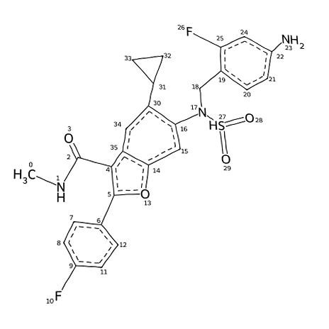 CNC(=O)c1c(-c2ccc(F)cc2)oc2cc(N(Cc3ccc(N)cc3F)[SH](=O)=O)c(C3CC3)cc12